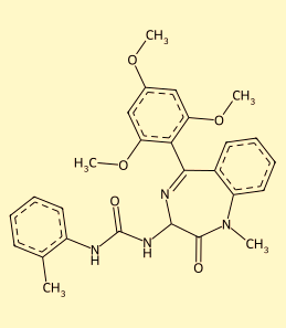 COc1cc(OC)c(C2=NC(NC(=O)Nc3ccccc3C)C(=O)N(C)c3ccccc32)c(OC)c1